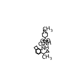 CC(c1ccc2c(c1NC(=O)NS(=O)(=O)C1CCN(C)CC1)CC2)C1CC1